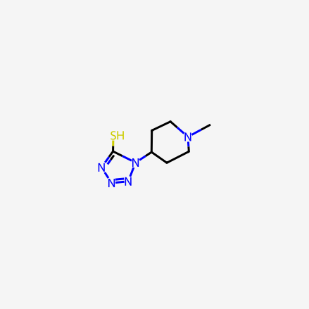 CN1CCC(n2nnnc2S)CC1